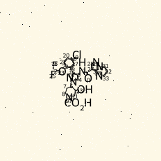 O=C(Nc1cn([C@H]2CCN(C(=O)O)C[C@@H]2O)nc1-c1cc(Cl)ccc1OC(F)F)c1cnn2cccnc12